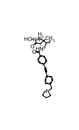 CC(N)(C(F)F)[C@H](NC(=O)c1ccc(C#Cc2ccc(CN3CCCC3)cc2)cc1)C(=O)NO